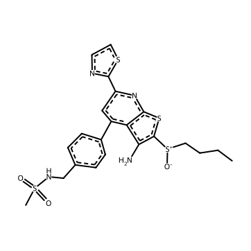 CCCC[S+]([O-])c1sc2nc(-c3nccs3)cc(-c3ccc(CNS(C)(=O)=O)cc3)c2c1N